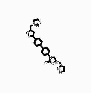 O=C1O[C@@H](Cn2ccnn2)CN1c1ccc(-c2ccc(C3=NOC(Cn4ccnn4)C3)cc2)cc1